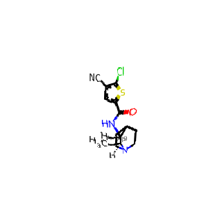 C[C@H]1[C@H](NC(=O)c2cc(C#N)c(Cl)s2)C2CCN1CC2